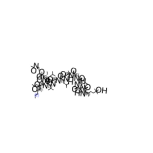 C/C=C/C[C@@H](C)[C@@H](OC(C)=O)[C@@H](C(=O)N[C@@H](CC)C(=O)OCCN(C)C(C)=O)N(C)C(=O)[C@H](C(C)C)N(C)C(=O)[C@H](CC(C)C)N(C)C(=O)[C@H](CC(C)C)N(C)C(=O)[C@@H](C)NC(=O)[C@H](C)NC(=O)[C@H](CC(C)C)N(C)C(=O)[C@@H](NC(=O)[C@@H](NC)[C@H](C)CCC(C)(C)O)C(C)C